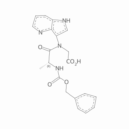 C[C@@H](NC(=O)OCc1ccccc1)C(=O)N(CC(=O)O)c1c[nH]c2cccnc12